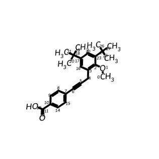 COc1c(CC#Cc2ccc(C(=O)O)cc2)cc(C(C)(C)C)cc1C(C)(C)C